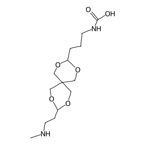 CNCCC1OCC2(COC(CCCNC(=O)O)OC2)CO1